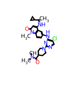 C[C@@H](Nc1cc(=O)n(C)c2ccc(Nc3nc(N4CCC(C(=O)N(C)C)CC4)ncc3Cl)cc12)C1CC1